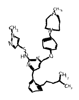 CC(C)CCc1ccccc1-c1cc(Oc2ccc(N3CCN(C)CC3)cc2)nc(NSc2cnn(C)c2)n1